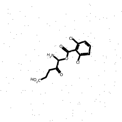 NC(OC(=O)c1c(Cl)cccc1Cl)C(=O)CCC(=O)O